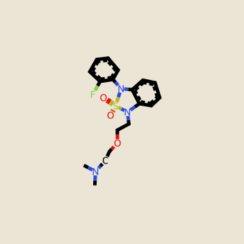 CN(C)CCOCCN1c2ccccc2N(c2ccccc2F)S1(=O)=O